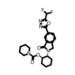 O=C(O[C@@H]1CCCC[C@H]1N1Cc2ccc(-c3nnc(C(F)F)o3)cc2C1=O)N1CCCCC1